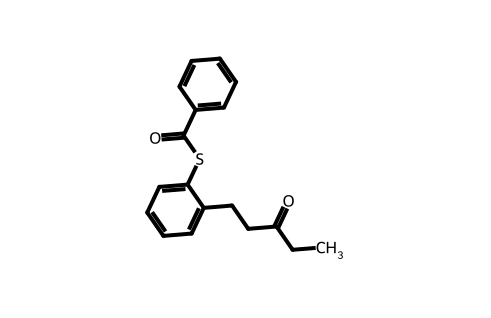 CCC(=O)CCc1ccccc1SC(=O)c1ccccc1